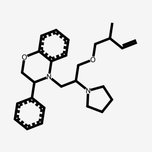 C=CC(C)COCC(CN1c2ccccc2OCC1c1ccccc1)N1CCCC1